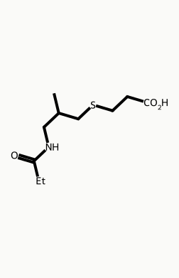 CCC(=O)NCC(C)CSCCC(=O)O